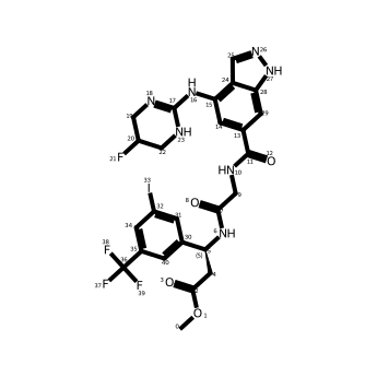 COC(=O)C[C@H](NC(=O)CNC(=O)c1cc(NC2=NCC(F)CN2)c2cn[nH]c2c1)c1cc(I)cc(C(F)(F)F)c1